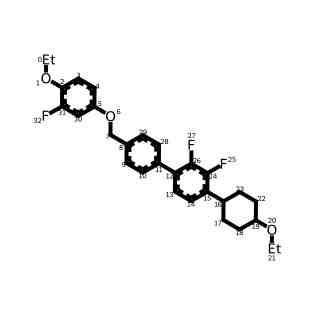 CCOc1ccc(OCc2ccc(-c3ccc(C4CCC(OCC)CC4)c(F)c3F)cc2)cc1F